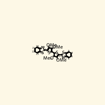 COC1=C(c2nc3ccccc3s2)SC(c2sc(-c3nc4ccccc4s3)c(OC)c2OC)C1OC